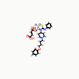 CSC(=Nc1ccccc1)N(C)C1CCN(CCCCOc2ccc(F)cc2)CC1.O=C(O)C=CC(=O)O